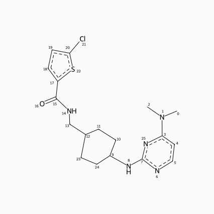 CN(C)c1ccnc(NC2CCC(CNC(=O)c3ccc(Cl)s3)CC2)n1